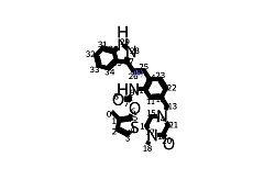 Cc1ccsc1OC(=O)Nc1cc(CN2CCN(C)C(=O)C2)ccc1/C=C/c1n[nH]c2ccccc12